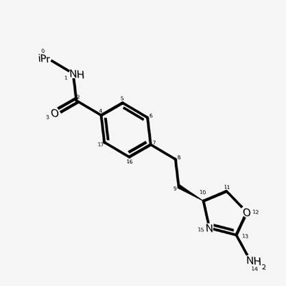 CC(C)NC(=O)c1ccc(CC[C@H]2COC(N)=N2)cc1